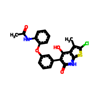 CC(=O)Nc1ccccc1Oc1cccc(-c2c(O)c3c(C)c(Cl)sc3[nH]c2=O)c1